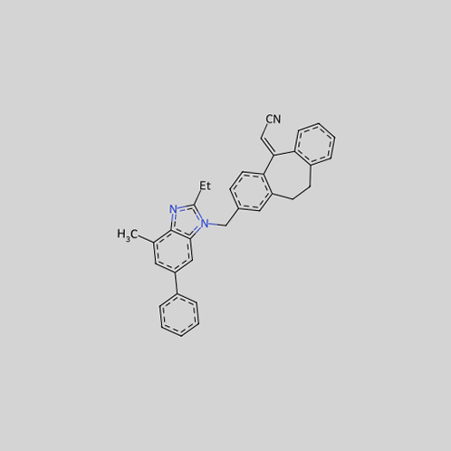 CCc1nc2c(C)cc(-c3ccccc3)cc2n1Cc1ccc2c(c1)CCc1ccccc1C2=CC#N